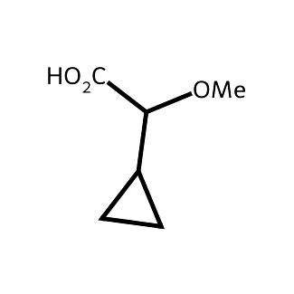 COC(C(=O)O)C1CC1